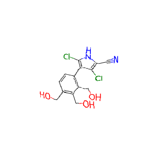 N#Cc1[nH]c(Cl)c(-c2ccc(CO)c(CO)c2CO)c1Cl